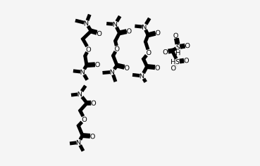 CN(C)C(=O)COCC(=O)N(C)C.CN(C)C(=O)COCC(=O)N(C)C.CN(C)C(=O)COCC(=O)N(C)C.CN(C)C(=O)COCC(=O)N(C)C.O=C([SH](=O)=O)[SH](=O)=O